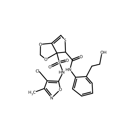 Cc1noc(NS(=O)(=O)C23OCOC2=CSC3C(=O)Nc2ccccc2CCO)c1Cl